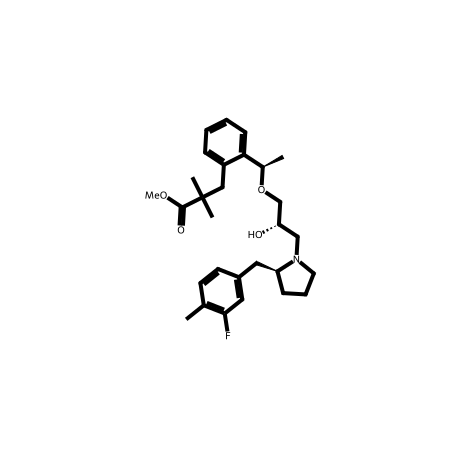 COC(=O)C(C)(C)Cc1ccccc1[C@@H](C)OC[C@@H](O)CN1CCC[C@H]1Cc1ccc(C)c(F)c1